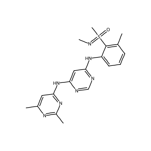 CN=S(C)(=O)c1c(C)cccc1Nc1cc(Nc2cc(C)nc(C)n2)ncn1